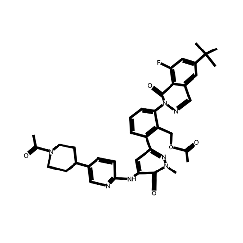 CC(=O)OCc1c(-c2cc(Nc3ccc(C4CCN(C(C)=O)CC4)cn3)c(=O)n(C)n2)cccc1-n1ncc2cc(C(C)(C)C)cc(F)c2c1=O